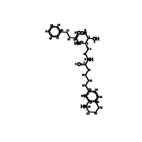 O=NC(O)[C@@H](CCNC(=O)CCCCc1ccc2c(n1)NCCC2)NC(=O)CCc1ccccc1